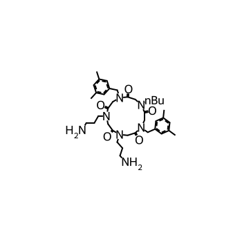 CCCCN1CC(=O)N(Cc2cc(C)cc(C)c2)CC(=O)N(CCCN)CC(=O)N(CCCN)CC(=O)N(Cc2cc(C)cc(C)c2)CC1=O